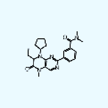 CCC1C(=O)N(C)c2cnc(-c3cccc(C(=O)N(C)C)c3)nc2N1C1CCCC1